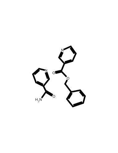 NC(=O)c1cccnc1.O=C(OCc1ccccc1)c1cccnc1